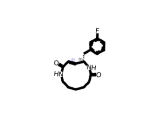 O=C1/C=C/[C@H](Cc2cccc(F)c2)NC(=O)CCCCCN1